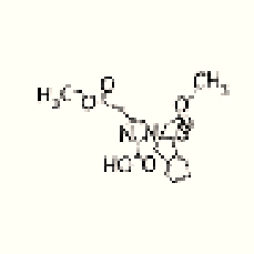 CCOC(=O)C=Cc1cn(C2(CC(=O)OCC)Cc3ccccc3C2=O)c(C(=O)O)n1